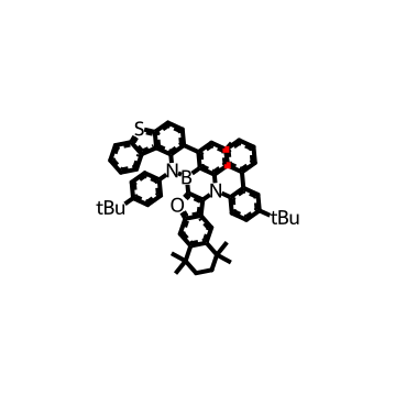 Cc1cc2c3c(c1)N(c1ccc(C(C)(C)C)cc1-c1ccccc1)c1c(oc4cc5c(cc14)C(C)(C)CCC5(C)C)B3N(c1ccc(C(C)(C)C)cc1)c1c-2ccc2sc3ccccc3c12